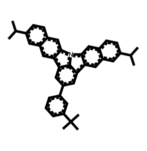 CC(C)c1ccc2cc3c(cc2c1)c1cc(-c2cccc(C(C)(C)C)c2)cc2c4cc5cc(C(C)C)ccc5cc4n3c12